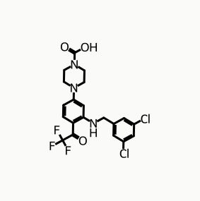 O=C(O)N1CCN(c2ccc(C(=O)C(F)(F)F)c(NCc3cc(Cl)cc(Cl)c3)c2)CC1